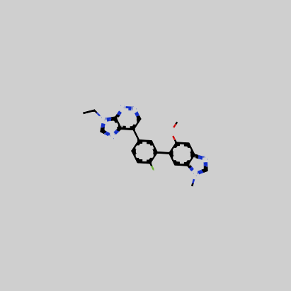 CCn1cnc2c(-c3ccc(F)c(-c4cc5c(cc4OC)ncn5C)c3)cnnc21